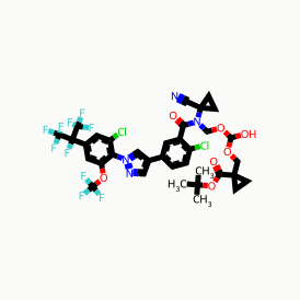 CC(C)(C)OC(=O)C1(COC(O)OCN(C(=O)c2cc(-c3cnn(-c4c(Cl)cc(C(F)(C(F)(F)F)C(F)(F)F)cc4OC(F)(F)F)c3)ccc2Cl)C2(C#N)CC2)CC1